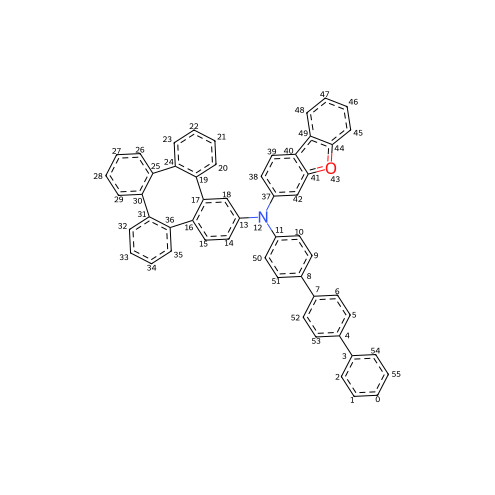 c1ccc(-c2ccc(-c3ccc(N(c4ccc5c(c4)-c4ccccc4-c4ccccc4-c4ccccc4-5)c4ccc5c(c4)oc4ccccc45)cc3)cc2)cc1